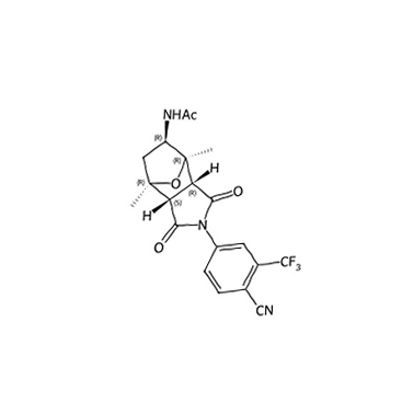 CC(=O)N[C@@H]1C[C@@]2(C)O[C@]1(C)[C@@H]1C(=O)N(c3ccc(C#N)c(C(F)(F)F)c3)C(=O)[C@@H]12